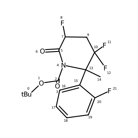 CC(C)(C)OC(=O)N1C(=O)C(F)CC(F)(F)C1(C)c1ccccc1F